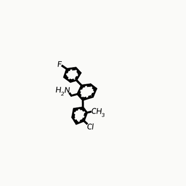 Cc1c(Cl)cccc1-c1cccc(-c2ccc(F)cc2)c1CN